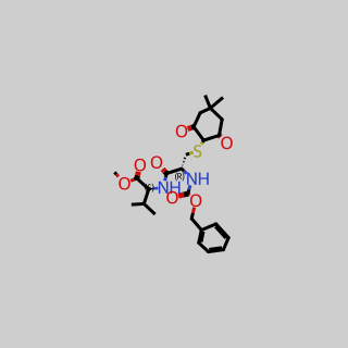 COC(=O)[C@@H](NC(=O)[C@H](CSC1C(=O)CC(C)(C)CC1=O)NC(=O)OCc1ccccc1)C(C)C